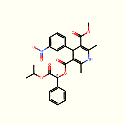 COC(=O)C1=C(C)NC(C)=C(C(=O)O[C@H](C(=O)OC(C)C)c2ccccc2)C1c1cccc([N+](=O)[O-])c1